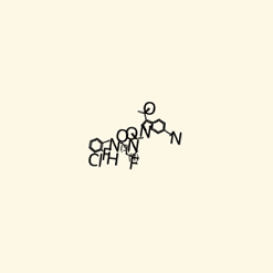 CC(=O)c1cn(CC(=O)N2C[C@H](F)C[C@H]2C(=O)NCc2cccc(Cl)c2F)c2cc(C#N)ccc12